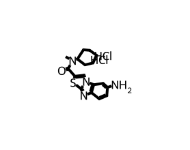 CN(C(=O)c1cn2c(nc3ccc(N)cc32)s1)C1CCCCC1.Cl.Cl